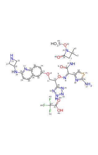 CC1(C)[C@H](NC(=O)/C(=N\OC(COc2ccc3nc(NC4CNC4)ccc3c2)c2nn[nH]n2)c2csc(N)n2)C(=O)N1OS(=O)(=O)O.O=C(O)C(F)(F)F